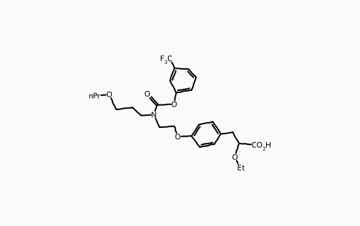 CCCOCCCN(CCOc1ccc(CC(OCC)C(=O)O)cc1)C(=O)Oc1cccc(C(F)(F)F)c1